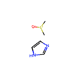 C[S+](C)[O-].c1c[nH]cn1